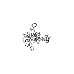 CC(CSC(=S)c1ccccc1)(CC(C)(CC(C)(C(=O)OC1(c2ccccc2)CCCC1)C(C)(C)C(=O)O)C(=O)OC1C2CC3C(=O)OC1C3C2)C(=O)OCCNS(=O)(=O)C(F)(F)F